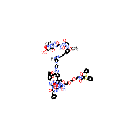 COc1ccc(C#CCNC2(C)CCN(C3CCN(c4nc([C@@](COCNC(=O)CNC(=O)[C@H](Cc5ccccc5)NC(=O)CNC(=O)CNC(=O)CCOCCOCCN5C(=O)C(Sc6ccccc6)=C(Sc6ccccc6)C5=O)(OC5CC5)c5ccccc5)c5cc(-c6cn(C)c(=O)c7[nH]ccc67)ccc5n4)CC3)CC2)cc1N1CCC(=O)N(CNC(=O)CNC(=O)[C@H](CC(=O)O)NC(C)=O)C1=O